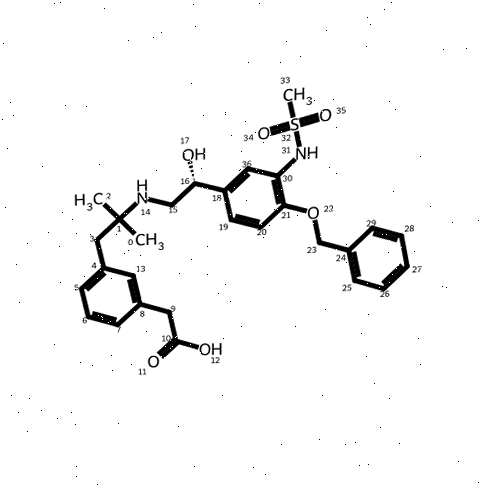 CC(C)(Cc1cccc(CC(=O)O)c1)NC[C@H](O)c1ccc(OCc2ccccc2)c(NS(C)(=O)=O)c1